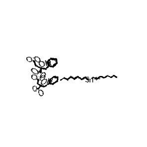 CCCCCCC[CH2][Sn+4][CH2]CCCCCCC.O=C([O-])CC(O)(Cc1ccccc1)C(=O)[O-].O=C([O-])CC(O)(Cc1ccccc1)C(=O)[O-]